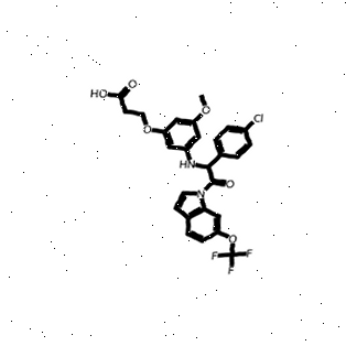 COc1cc(NC(C(=O)n2ccc3ccc(OC(F)(F)F)cc32)c2ccc(Cl)cc2)cc(OCCC(=O)O)c1